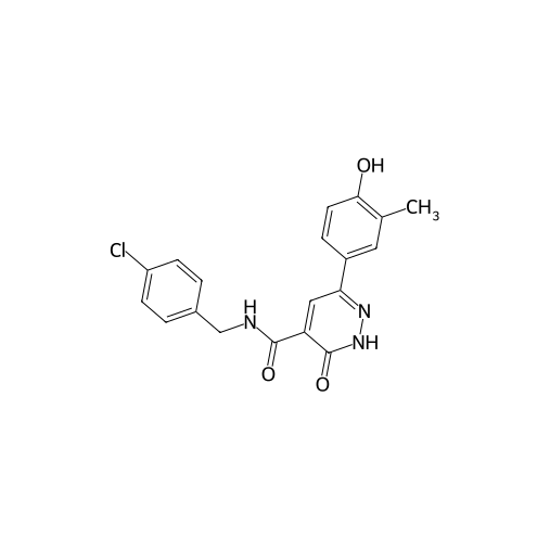 Cc1cc(-c2cc(C(=O)NCc3ccc(Cl)cc3)c(=O)[nH]n2)ccc1O